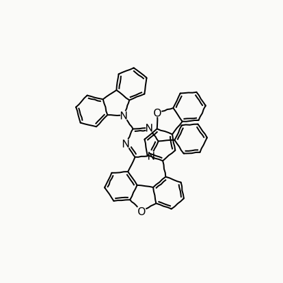 c1ccc(-c2nc(-c3cccc4oc5cccc(-c6ccc7oc8ccccc8c7c6)c5c34)nc(-n3c4ccccc4c4ccccc43)n2)cc1